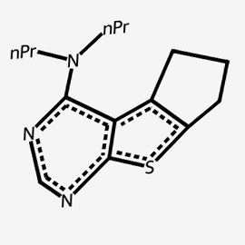 CCCN(CCC)c1ncnc2sc3c(c12)CCC3